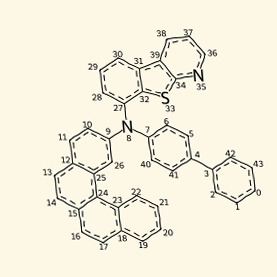 c1ccc(-c2ccc(N(c3ccc4ccc5ccc6ccccc6c5c4c3)c3cccc4c3sc3ncccc34)cc2)cc1